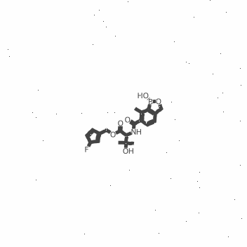 Cc1c(C(=O)NC(C(=O)OCC2=CC(F)C=C2)C(C)(C)O)ccc2c1B(O)OC2